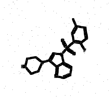 Cc1ccc(F)c(S(=O)(=O)n2cc(N3CCNCC3)c3ncccc32)c1